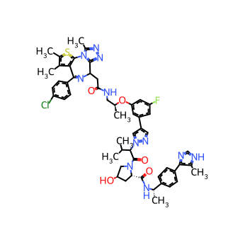 Cc1[nH]cnc1-c1ccc([C@H](C)NC(=O)[C@@H]2C[C@@H](O)CN2C(=O)C(C(C)C)n2cc(-c3cc(F)cc(O[C@@H](C)CNC(=O)CC4N=C(c5ccc(Cl)cc5)c5c(sc(C)c5C)-n5c(C)nnc54)c3)cn2)cc1